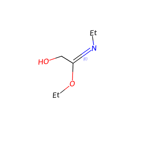 CC/N=C(\CO)OCC